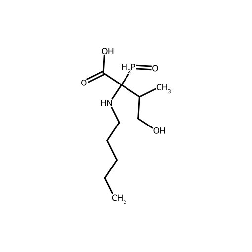 CCCCCNC([PH2]=O)(C(=O)O)C(C)CO